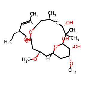 CC[C@H](/C=C(/C)[C@@H]1C[C@@H](C)C[C@H](O)C(C)(C)[C@@]2(O)O[C@@H](C[C@@H](OC)CC(=O)O1)C[C@@H](OC)[C@H]2O)CO